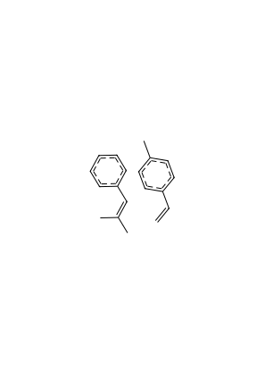 C=Cc1ccc(C)cc1.CC(C)=Cc1ccccc1